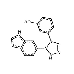 Oc1cccc(N2[C]=NNN2c2ccc3cc[nH]c3c2)c1